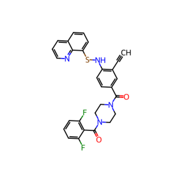 C#Cc1cc(C(=O)N2CCN(C(=O)c3c(F)cccc3F)CC2)ccc1NSc1cccc2cccnc12